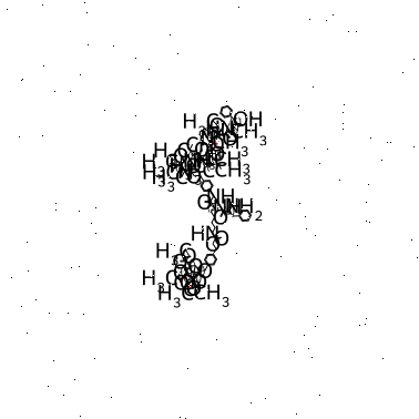 CC[C@H](C)[C@@H]([C@@H](CC(=O)N1CCC[C@H]1[C@H](OC)[C@@H](C)C(=O)N[C@H](C)[C@@H](O)c1ccccc1)OC)N(C)C(=O)[C@@H](NC(=O)[C@H](C(C)C)N(C)C(=O)OCc1ccc(NC(=O)[C@H](CCCCNC(=O)OCc2ccc(O[C@@H]3O[C@H](C(=O)OC)[C@@H](OC(C)=O)[C@H](OC(C)=O)[C@H]3OC(C)=O)cc2)NC(=O)[C@@H](N)Cc2ccccc2)cc1)C(C)C